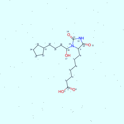 O=C(O)CCCCCCC1C(=O)NC(=O)N1C(O)CCCC1CCCC1